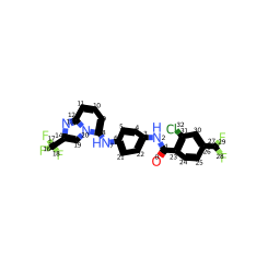 O=C(Nc1ccc(Nc2cccc3nc(C(F)(F)F)cn23)cc1)c1ccc(C(F)F)cc1Cl